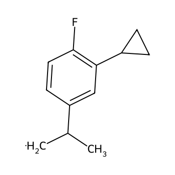 [CH2]C(C)c1ccc(F)c(C2CC2)c1